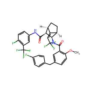 COc1ccc(Cc2ccc(F)cc2)cc1C(=O)N[C@H]1[C@@H](C(=O)Nc2ccc(F)c(C(F)(F)F)c2)[C@H]2CC[C@@H]1/C2=C\C(F)(F)F